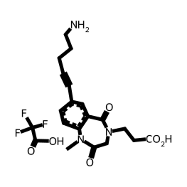 CN1C(=O)CN(CCC(=O)O)C(=O)c2cc(C#CCCCN)ccc21.O=C(O)C(F)(F)F